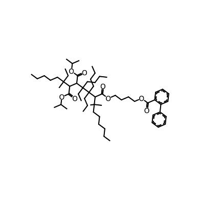 CCCCCCC(C)(C)C(C(=O)OCCCCOC(=O)c1ccccc1-c1ccccc1)C(CCC)(CCCC)C(CC)(CCCC)C(C(=O)OC(C)C)C(C(=O)OC(C)C)C(C)(CC)CCCCC